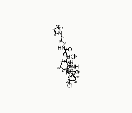 Cl.O=C(NCCCn1ccnc1)OC[C@@]12CCC[C@@H](CC1)[C@@H]2NS(=O)(=O)c1ccc(Cl)s1